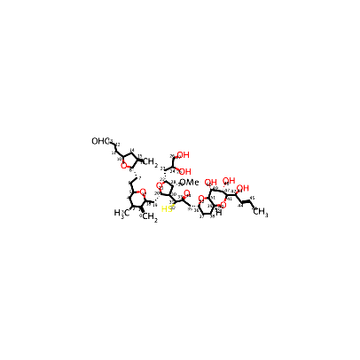 C=C1C(C)CC(CC[C@@H]2OC(CCC=O)CC2=C)OC1C[C@@H]1O[C@H](CC(O)CO)[C@H](OC)C1C(S)C(=O)C[C@H]1CC[C@@H]2OC(C(O)/C=C/C)[C@@H](O)[C@@H](O)C2O1